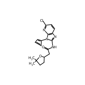 CC1(C)CCC(CC(=O)Nc2nc3ccc(Cl)nc3n2C2=CC=C2)O1